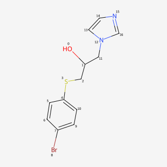 OC(CSc1ccc(Br)cc1)Cn1ccnc1